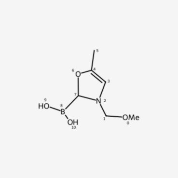 COCN1C=C(C)OC1B(O)O